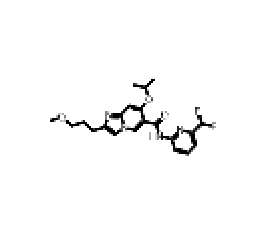 COCCCc1cn2cc(C(=O)Nc3cccc(C(F)F)n3)c(OC(C)C)cc2n1